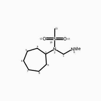 CNCN(C1CCCCCC1)S(C)(=O)=O